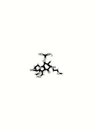 COCCNC1=C(C)C(=O)C2=C(C1=O)C(CO)C1(OC)C3NC3CN21.NC(=O)O